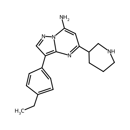 CCc1ccc(-c2cnn3c(N)cc(C4CCCNC4)nc23)cc1